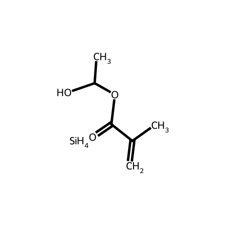 C=C(C)C(=O)OC(C)O.[SiH4]